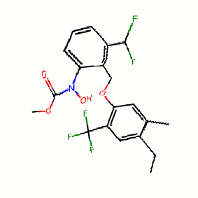 CCc1cc(C(F)(F)F)c(OCc2c(C(F)F)cccc2N(O)C(=O)OC)cc1C